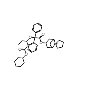 CCC(OC(=O)OC1CCCCC1)OC(C(=O)OC1CC2CCC(C1)[N+]21CCCC1)(c1ccccc1)c1ccccc1